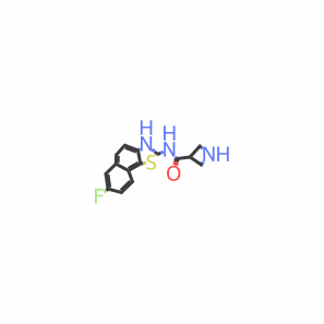 O=C(NC1Nc2ccc3cc(F)ccc3c2S1)C1CNC1